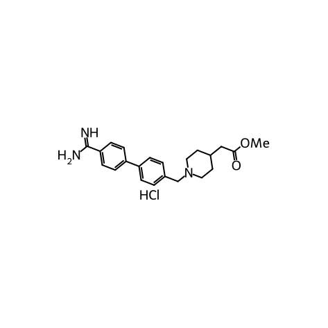 COC(=O)CC1CCN(Cc2ccc(-c3ccc(C(=N)N)cc3)cc2)CC1.Cl